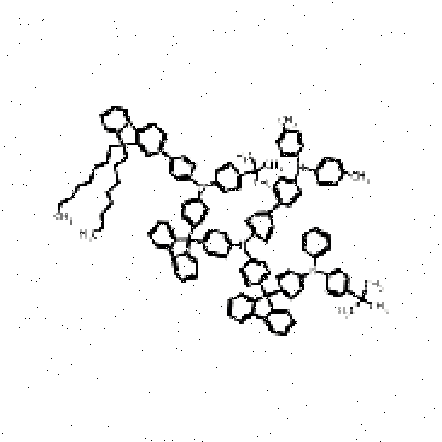 CCCCCCCCC1(CCCCCCCC)c2ccccc2-c2ccc(-c3ccc(N(c4ccc(C(C)(C)C)cc4)c4ccc(C5(c6ccc(N(c7ccc(-c8ccc(N(c9ccc(C)cc9)c9ccc(C)cc9)cc8)cc7)c7ccc(C8(c9ccc(N(c%10ccccc%10)c%10ccc(C(C)(C)C)cc%10)cc9)c9ccccc9-c9ccccc98)cc7)cc6)c6ccccc6-c6ccccc65)cc4)cc3)cc21